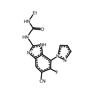 CCNC(=O)Nc1nc2cc(C#N)c(F)c(-n3cccn3)c2[nH]1